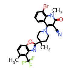 Cc1ccc2oc(C3(C)CCN(c4c(C#N)c(=O)n(C)c5c(Br)cccc45)CC3)nc2c1C(F)(F)F